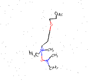 CC(=O)OCCOCCC[N+](C)(C)ON(C)C